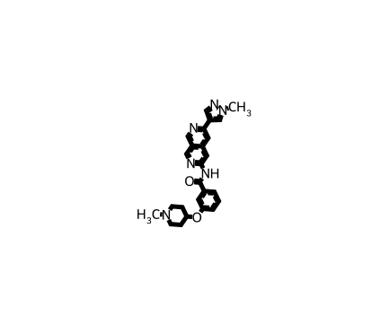 CN1CCC(Oc2cccc(C(=O)Nc3cc4cc(-c5cnn(C)c5)ncc4cn3)c2)CC1